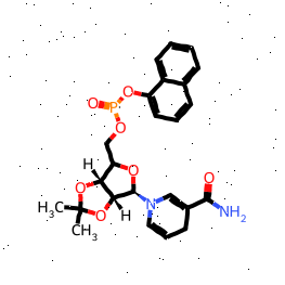 CC1(C)O[C@@H]2[C@H](O1)C(CO[P](=O)Oc1cccc3ccccc13)O[C@H]2N1C=CCC(C(N)=O)=C1